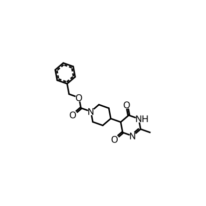 CC1=NC(=O)C(C2CCN(C(=O)OCc3ccccc3)CC2)C(=O)N1